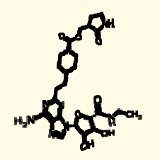 CCNC(=O)[C@H]1O[C@@H](n2cnc3c(N)nc(CCC4CCN(C(=O)OCC5CCNC5=O)CC4)nc32)C(O)C1O